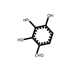 CCCc1c(O)ccc(C=O)c1O